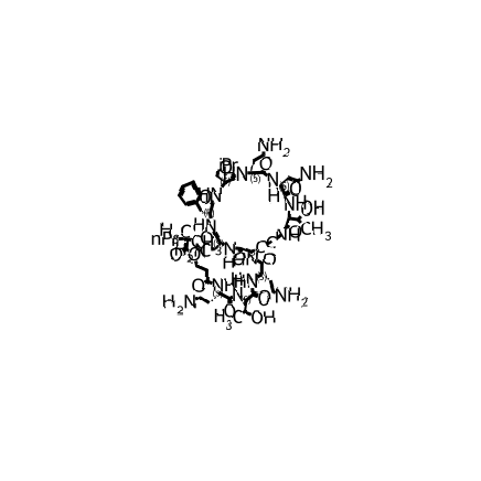 CCCC(C)(C)C(=O)OCCC(=O)N[C@@H](CCN)C(=O)N[C@H](C(=O)N[C@@H](CCN)C(=O)N[C@H]1CCNC(=O)C(C(C)O)NC(=O)[C@H](CCN)NC(=O)[C@H](CCN)NC(=O)[C@H](CC(C)C)NC(=O)[C@@H](Cc2ccccc2)NC(=O)[C@H](CCN)NC1=O)C(C)O